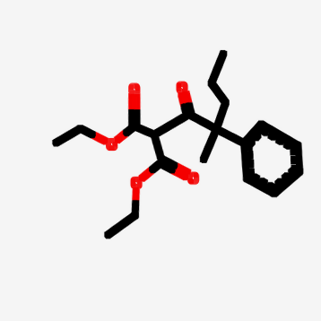 CCCC(C)(C(=O)C(C(=O)OCC)C(=O)OCC)c1ccccc1